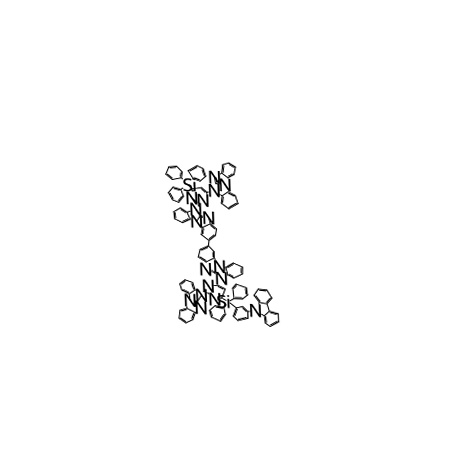 c1ccc([Si](c2ccccc2)(c2cccc(-n3c4ccccc4c4ccccc43)c2)c2cc(-n3c4ccccc4n4c5cc(-c6ccc7nc8n(-c9nc(-n%10c%11ccccc%11n%11c%12ccccc%12nc%10%11)cc([Si](c%10ccccc%10)(c%10ccccc%10)c%10ccccc%10)n9)c9ccccc9n8c7c6)ccc5nc34)nc(-n3c4ccccc4n4c5ccccc5nc34)n2)cc1